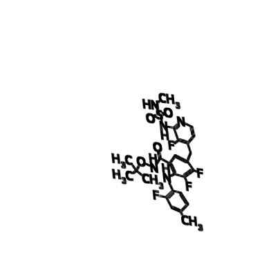 CNS(=O)(=O)Nc1nccc(Cc2cc(C(=O)NOC(C)(C)C)c(Nc3ccc(C)cc3F)c(F)c2F)c1F